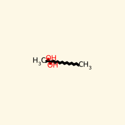 CCCCCCCCCCC/C=C/C(O)C(O)CC